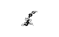 Nc1c(C(=O)NCCc2ccc(N3CCNCC3)cc2)sc2nc(Cl)ccc12